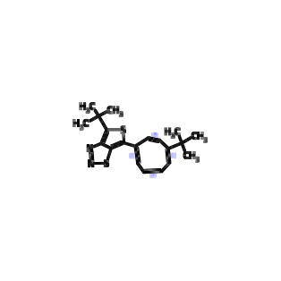 CC(C)(C)C1=C/C=C\C=C(c2sc(C(C)(C)C)c3nnsc23)/C=C\1